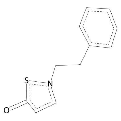 O=c1ccn(CCc2ccccc2)s1